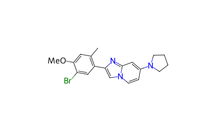 COc1cc(C)c(-c2cn3ccc(N4CCCC4)cc3n2)cc1Br